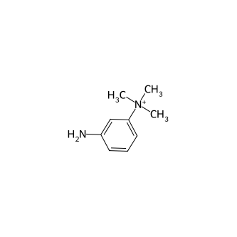 C[N+](C)(C)c1cccc(N)c1